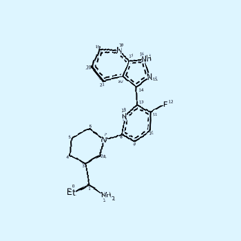 CCC(N)C1CCCN(c2ccc(F)c(-c3n[nH]c4ncccc34)n2)C1